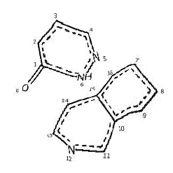 O=c1cccn[nH]1.c1ccc2cnccc2c1